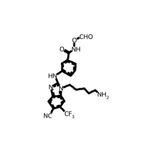 N#Cc1cc2nc(Nc3cccc(C(=O)NOC=O)c3)n(CCCCCN)c2cc1C(F)(F)F